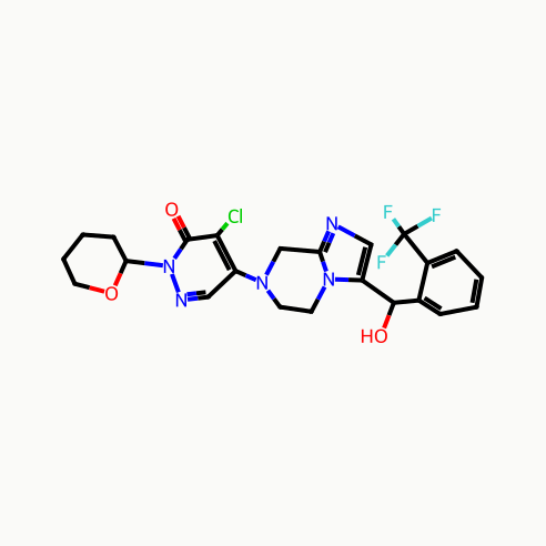 O=c1c(Cl)c(N2CCn3c(C(O)c4ccccc4C(F)(F)F)cnc3C2)cnn1C1CCCCO1